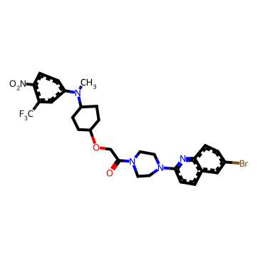 CN(c1ccc([N+](=O)[O-])c(C(F)(F)F)c1)C1CCC(OCC(=O)N2CCN(c3ccc4cc(Br)ccc4n3)CC2)CC1